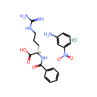 Cl.N=C(N)NCCC[C@H](NC(=O)c1ccccc1)C(=O)O.Nc1cccc([N+](=O)[O-])c1